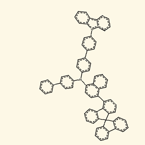 c1ccc(-c2ccc(N(c3ccc(-c4ccc(-n5c6ccccc6c6ccccc65)cc4)cc3)c3ccc(-c4cccc5c4-c4ccccc4C54c5ccccc5-c5ccccc54)c4ccccc34)cc2)cc1